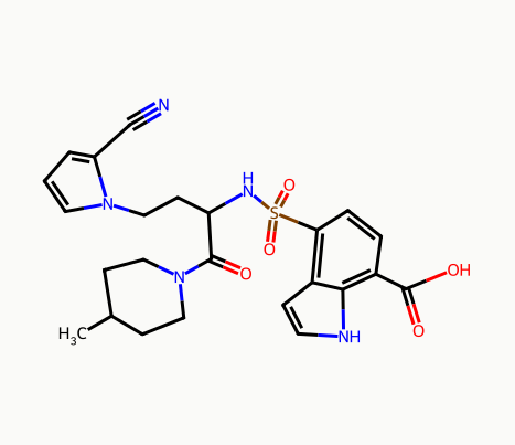 CC1CCN(C(=O)C(CCn2cccc2C#N)NS(=O)(=O)c2ccc(C(=O)O)c3[nH]ccc23)CC1